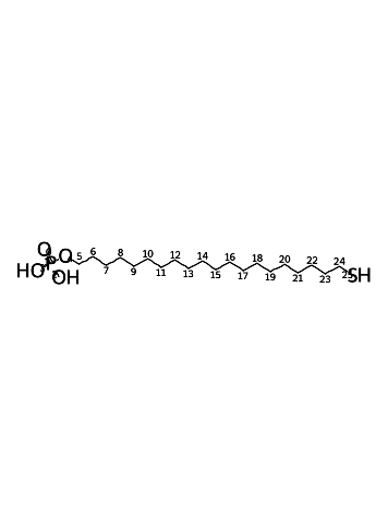 O=P(O)(O)OCCCCCCCCCCCCCCCCCCCCS